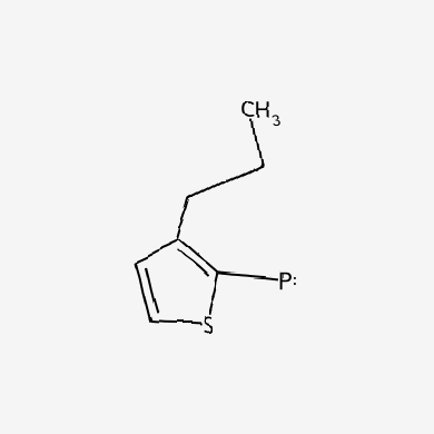 CCCc1ccsc1[P]